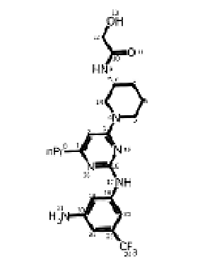 CCCc1cc(N2CCC[C@@H](NC(=O)CO)C2)nc(Nc2cc(N)cc(C(F)(F)F)c2)n1